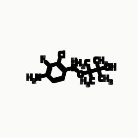 CC(C)(O)C(C)(C)OBc1ccc(N)c(F)c1Cl